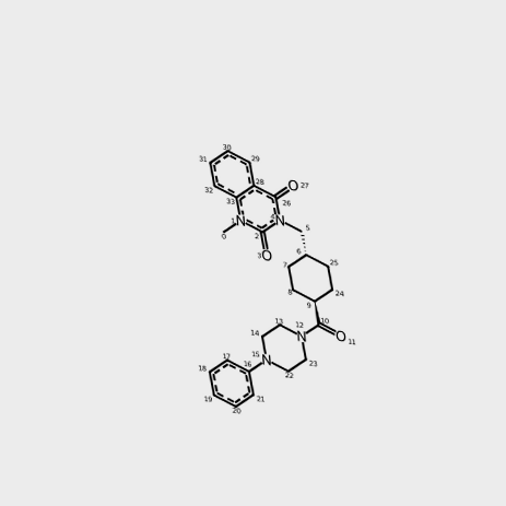 Cn1c(=O)n(C[C@H]2CC[C@H](C(=O)N3CCN(c4ccccc4)CC3)CC2)c(=O)c2ccccc21